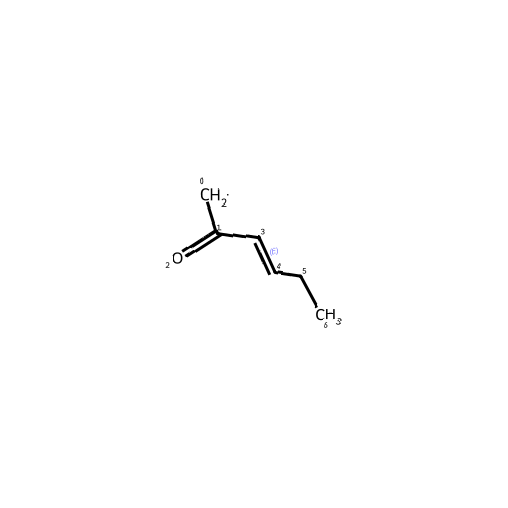 [CH2]C(=O)/C=C/CC